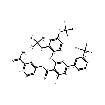 NC(=O)c1cc(NC(=O)c2c(F)cc(-c3cccc(C(F)(F)F)c3)cc2Oc2ccc(OC(F)(F)F)cc2OC(S)(S)S)ccn1